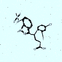 CS(=O)(=O)Nc1cccc2c(C(CCC(=O)O)c3ccc(Cl)cc3F)n[nH]c12